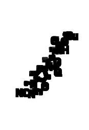 CN1C(=NC#N)COc2cc(N3C[C@H](CNC(=O)OC(C)(C)C)OC3=O)ccc21